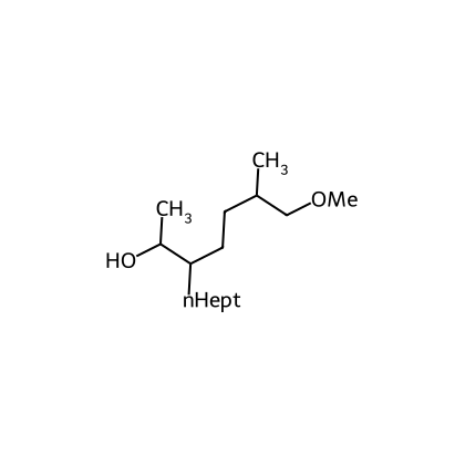 CCCCCCCC(CCC(C)COC)C(C)O